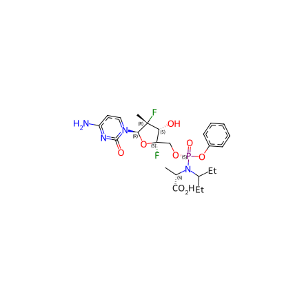 CCC(CC)N([C@@H](C)C(=O)O)[P@](=O)(OC[C@@]1(F)O[C@@H](n2ccc(N)nc2=O)[C@](C)(F)[C@@H]1O)Oc1ccccc1